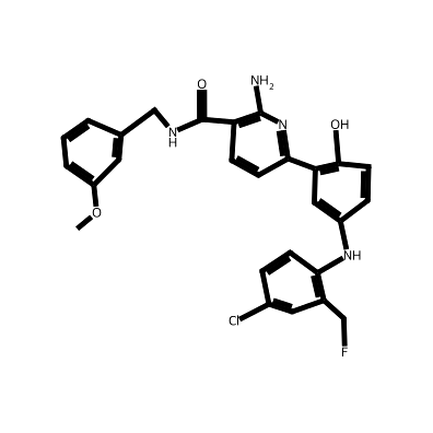 COc1cccc(CNC(=O)c2ccc(-c3cc(Nc4ccc(Cl)cc4CF)ccc3O)nc2N)c1